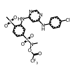 CN(OC(=O)C(F)(F)F)S(=O)(=O)c1ccc(S(C)(=O)=O)c(Nc2cc(Nc3ccc(Cl)cc3)ncn2)c1